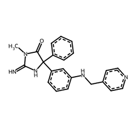 CN1C(=N)NC(c2ccccc2)(c2cccc(NCc3ccncc3)c2)C1=O